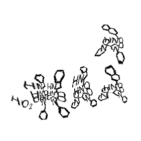 O=C(N[C@@H]1C(=O)N(c2ccccc2)C[C@@H]1C(=O)N1CCCC1)c1ccc2ccccc2c1.O=C(N[C@@H]1C(=O)N(c2ccccc2)C[C@H]1C(=O)N1CCCC1)c1cc2ccccc2[nH]1.O=C(N[C@@H]1C(=O)N(c2ccccc2)C[C@H]1C(=O)N1CCCC1)c1ccc2ccccc2c1.O=C(N[C@@H]1C(=O)N(c2ccccc2)C[C@H]1C(=O)O)c1cc2ccccc2[nH]1.O=C(N[C@H]1C(=O)N(Cc2ccccc2)C[C@H]1C(=O)O)c1cc2ccccc2[nH]1